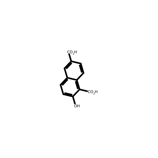 O=C(O)c1ccc2c(C(=O)O)c(O)ccc2c1